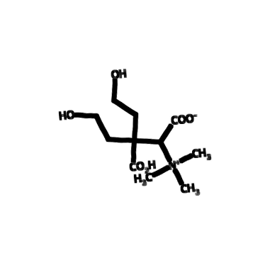 C[N+](C)(C)C(C(=O)[O-])C(CCO)(CCO)C(=O)O